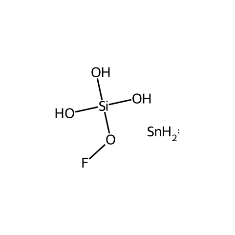 O[Si](O)(O)OF.[SnH2]